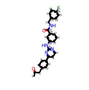 CC(=O)Cc1ccc(-c2ccnc(Nc3cccc(C(=O)NCc4ccc(F)cc4)c3)n2)cc1